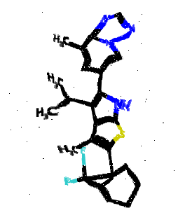 Cc1c(C23CCCCC2C3(F)F)sc2[nH]c(-c3cc(C)c4ncnn4c3)c(C(C)C)c12